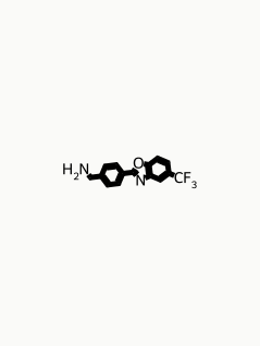 NCc1ccc(-c2nc3cc(C(F)(F)F)ccc3o2)cc1